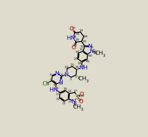 C[C@@H]1CN(c2ncc(Cl)c(Nc3ccc4c(c3)CS(=O)(=O)N4C)n2)CC[C@H]1Nc1ccc2c(C3CCC(=O)NC3=O)nn(C)c2c1